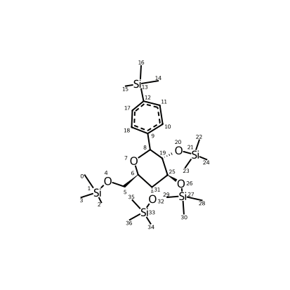 C[Si](C)(C)OC[C@H]1OC(c2ccc([Si](C)(C)C)cc2)[C@H](O[Si](C)(C)C)[C@@H](O[Si](C)(C)C)[C@@H]1O[Si](C)(C)C